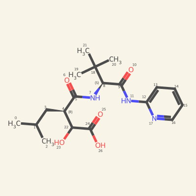 CC(C)C[C@@H](C(=O)N[C@H](C(=O)Nc1ccccn1)C(C)(C)C)C(O)C(=O)O